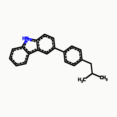 CC(C)Cc1ccc(-c2ccc3[nH]c4ccccc4c3c2)cc1